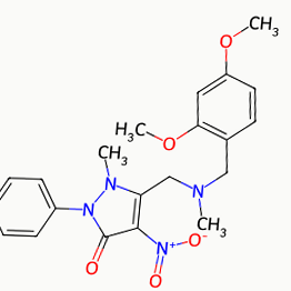 COc1ccc(CN(C)Cc2c([N+](=O)[O-])c(=O)n(-c3ccccc3)n2C)c(OC)c1